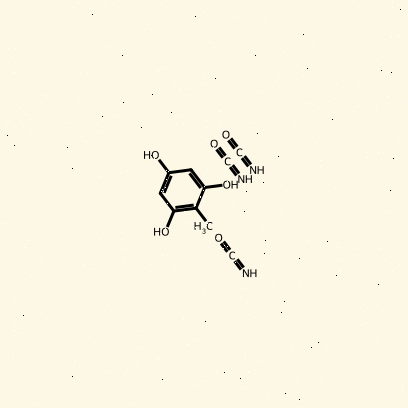 Cc1c(O)cc(O)cc1O.N=C=O.N=C=O.N=C=O